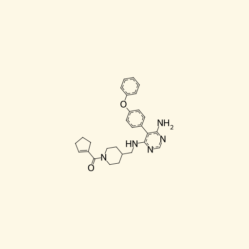 Nc1ncnc(NCC2CCN(C(=O)C3=CCCC3)CC2)c1-c1ccc(Oc2ccccc2)cc1